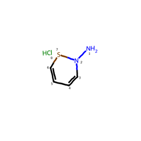 Cl.NN1C=CC=CS1